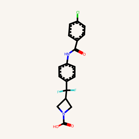 O=C(Nc1ccc(C(F)(F)C2CN(C(=O)O)C2)cc1)c1ccc(Cl)cc1